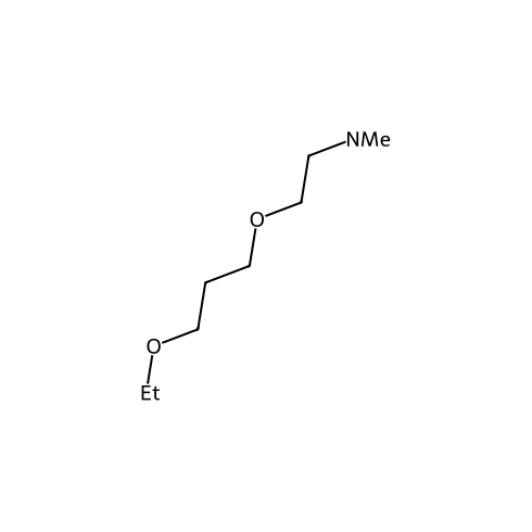 CCOCCCOCCNC